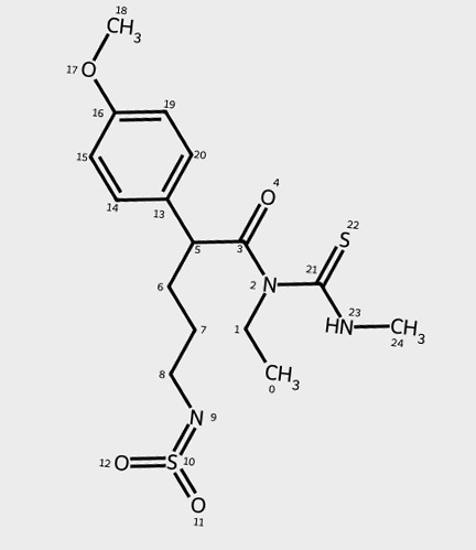 CCN(C(=O)C(CCCN=S(=O)=O)c1ccc(OC)cc1)C(=S)NC